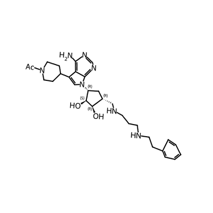 CC(=O)N1CCC(c2cn([C@@H]3C[C@H](CNCCCNCCc4ccccc4)[C@@H](O)[C@H]3O)c3ncnc(N)c23)CC1